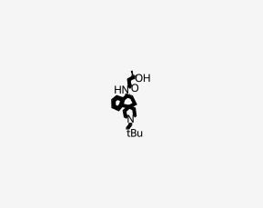 C[C@@H](O)CC(=O)N[C@@H]1CCC2(CCN(CCC(C)(C)C)CC2)c2ccccc21